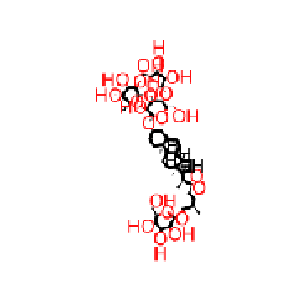 CO[C@@]1(CC[C@@H](C)CO[C@@H]2O[C@H](CO)[C@@H](O)[C@H](O)[C@H]2O)O[C@H]2C[C@H]3[C@@H]4CC=C5C[C@@H](O[C@H]6O[C@@H](CO)[C@H](O[C@@H]7O[C@@H](CO)[C@H](O)[C@H]7O)[C@@H](O[C@@H]7O[C@@H](C)[C@H](O)[C@@H](O)[C@H]7O)[C@@H]6O)CC[C@]5(C)[C@H]4CC[C@]3(C)[C@H]2[C@@H]1C